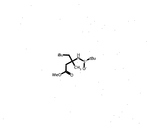 CCC(C)CC(C)(CC(=O)OC)N[S+]([O-])C(C)(C)C